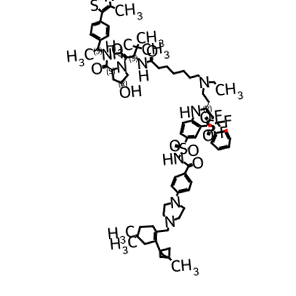 CCN(CCCCCCC(=O)N[C@H](C(=O)N1C[C@H](O)C[C@H]1C(=O)N[C@@H](C)c1ccc(-c2scnc2C)cc1)C(C)(C)C)CC[C@H](CSc1ccccc1)Nc1ccc(S(=O)(=O)NC(=O)c2ccc(N3CCN(CC4=C(C56CC(C)(C5)C6)CC(C)(C)CC4)CC3)cc2)cc1S(=O)(=O)C(F)(F)F